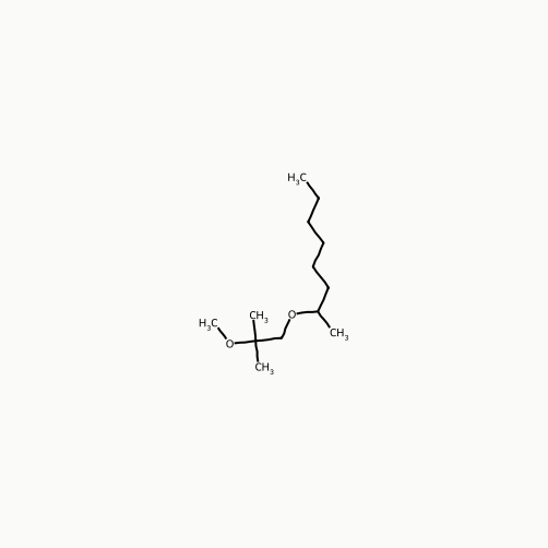 CCCCCCC(C)OCC(C)(C)OC